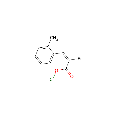 CCC(=Cc1ccccc1C)C(=O)OCl